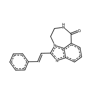 O=C1NCCn2c(/C=C/c3ccccc3)nc3cccc1c32